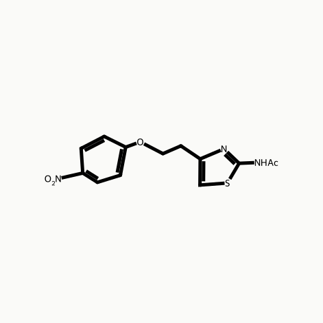 CC(=O)Nc1nc(CCOc2ccc([N+](=O)[O-])cc2)cs1